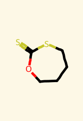 S=C1OCCCCS1